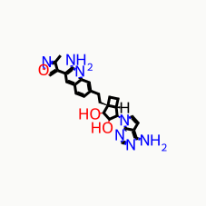 Cc1nocc1-c1cc2ccc(CC[C@@]34CC[C@@H]3[C@@H](n3ccc5c(N)ncnc53)[C@H](O)[C@@H]4O)cc2nc1N